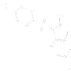 COc1ccc2c([c]c(C)n2S(=O)(=O)c2ccc(Cl)cc2)c1